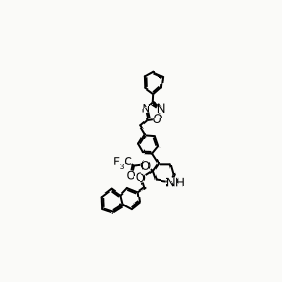 O=C(OC1(OCc2ccc3ccccc3c2)CNCCC1c1ccc(Cc2nc(-c3ccccc3)no2)cc1)C(F)(F)F